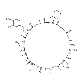 CCC(C)[C@@H]1NC(=O)[C@H](CC(C)C)N(C)C(=O)C[C@@H](C)N(C)C(=O)[C@H](CC(C)C)NC(=O)C(C)(C)N(C)C(=O)[C@H](CC(C)C)NC(=O)[C@H](CCc2ccc(C(F)(F)F)c(F)c2)NC(=O)CN(C)C(=O)[C@H](CC2CCCCC2)N(C)C(=O)CN(C)C(=O)CN(C)C1=O